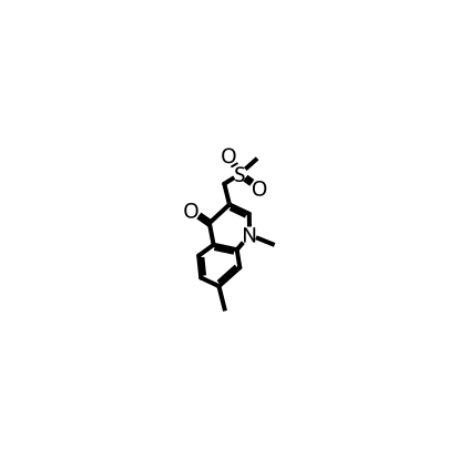 Cc1ccc2c(=O)c(CS(C)(=O)=O)cn(C)c2c1